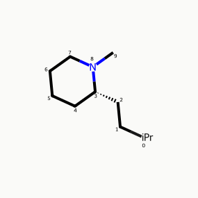 CC(C)CC[C@@H]1CCCCN1C